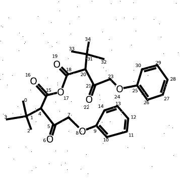 CC(C)(C)C(C(=O)COc1ccccc1)C(=O)OC(=O)C(C(=O)COc1ccccc1)C(C)(C)C